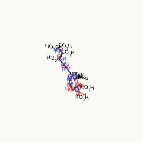 CC(C)(C)[Si](F)(c1ccc(C(=O)NC[C@@H](C(=O)N[C@H](CCCCNC(=O)CCC(=O)NCCCC(NC(=O)CCC[C@H](NC(=O)N[C@@H](CCC(=O)O)C(=O)O)C(=O)O)C(=O)O)C(=O)O)n2cc(CNC(=O)CCP(=O)(O)CN3CCN(CP(=O)(O)CCC(=O)O)CCN(CP(=O)(O)CCC(=O)O)CC3)nn2)cc1)C(C)(C)C